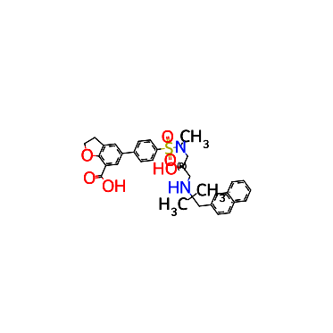 CN(C[C@H](O)CNC(C)(C)Cc1ccc2ccccc2c1)S(=O)(=O)c1ccc(-c2cc3c(c(C(=O)O)c2)OCC3)cc1